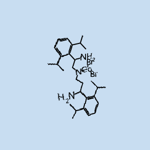 CC(C)c1cccc(C(C)C)c1C(N)CC[N](CC(N)c1c(C(C)C)cccc1C(C)C)[Co]([Br])[Br]